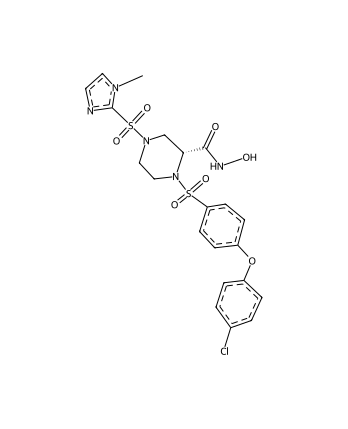 Cn1ccnc1S(=O)(=O)N1CCN(S(=O)(=O)c2ccc(Oc3ccc(Cl)cc3)cc2)[C@@H](C(=O)NO)C1